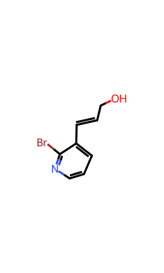 OC/C=C/c1cccnc1Br